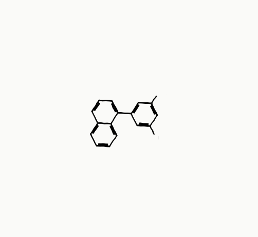 Cc1cc(C)cc(-c2cccc3ccccc23)c1